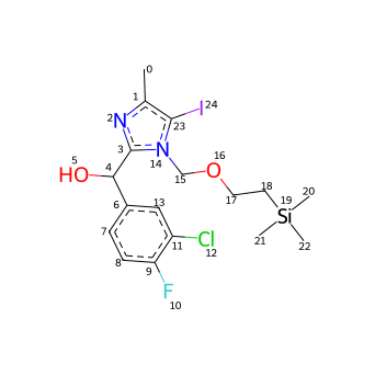 Cc1nc(C(O)c2ccc(F)c(Cl)c2)n(COCC[Si](C)(C)C)c1I